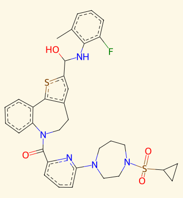 Cc1cccc(F)c1NC(O)c1cc2c(s1)-c1ccccc1N(C(=O)c1cccc(N3CCCN(S(=O)(=O)C4CC4)CC3)n1)CC2